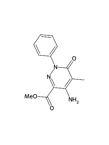 COC(=O)c1nn(-c2ccccc2)c(=O)c(C)c1N